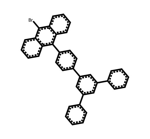 Brc1c2ccccc2c(-c2ccc(-c3cc(-c4ccccc4)cc(-c4ccccc4)c3)cc2)c2ccccc12